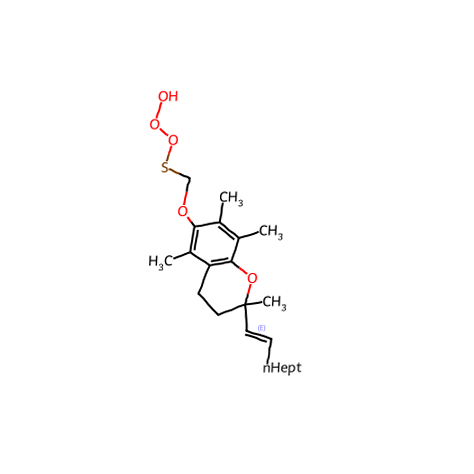 CCCCCCC/C=C/C1(C)CCc2c(C)c(OCSOOO)c(C)c(C)c2O1